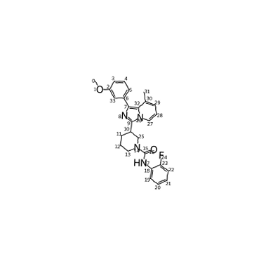 COc1cccc(-c2nc(C3CCCN(C(=O)Nc4ccccc4F)C3)n3cccc(C)c23)c1